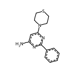 Nc1cc(N2CCSCC2)nc(-c2ccccc2)n1